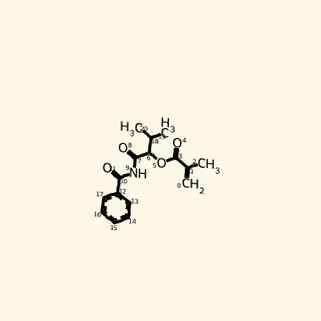 C=C(C)C(=O)OC(C(=O)NC(=O)c1ccccc1)C(C)C